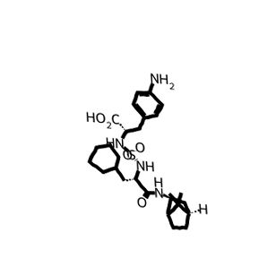 CC1(C)C2CC[C@@H]1C[C@@H]2NC(=O)[C@H](CC1CCCCC1)NS(=O)(=O)N[C@@H](Cc1ccc(N)cc1)C(=O)O